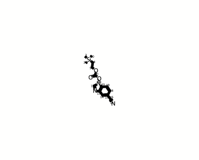 C[Si](C)(C)CCOC(=O)On1cnc2cc(C#N)ccc21